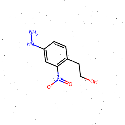 NNc1ccc(CCO)c([N+](=O)[O-])c1